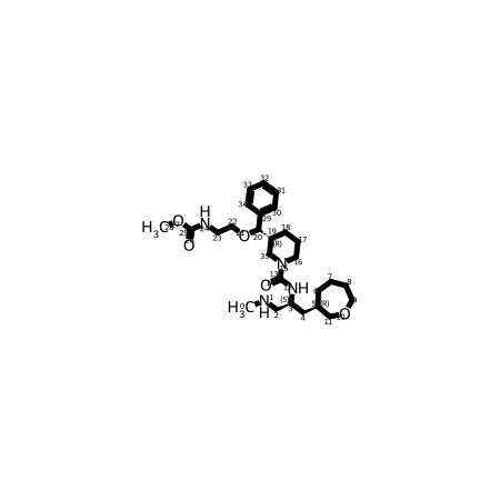 CNC[C@H](C[C@H]1CCCCOC1)NC(=O)N1CCC[C@@H](C(OCCNC(=O)OC)c2ccccc2)C1